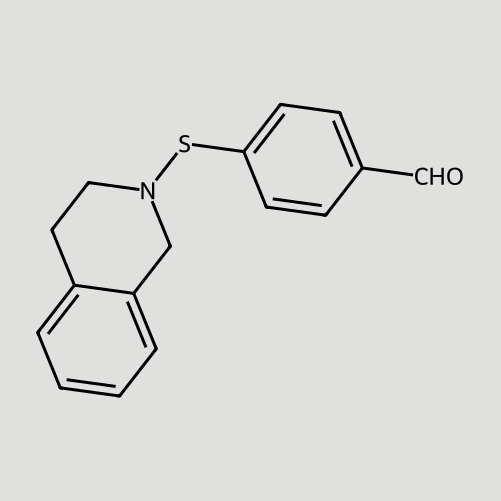 O=Cc1ccc(SN2CCc3ccccc3C2)cc1